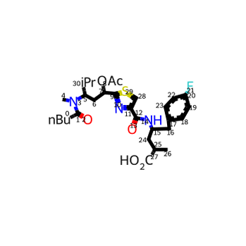 CCCCC(=O)N(C)C(CC(OC(C)=O)c1nc(C(=O)NC(Cc2ccc(F)cc2)CC(C)C(=O)O)cs1)C(C)C